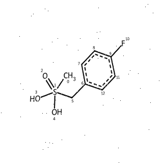 CS(=O)(O)(O)Cc1ccc(F)cc1